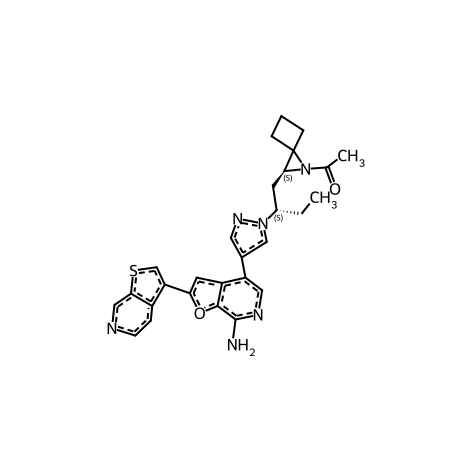 CC[C@@H](C[C@@H]1N(C(C)=O)C12CCC2)n1cc(-c2cnc(N)c3oc(-c4csc5cnccc45)cc23)cn1